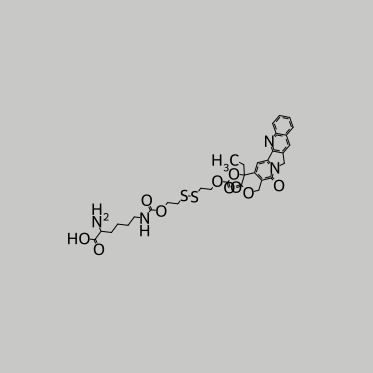 CCC1(OC(=O)OCCSSCCOC(=O)NCCCCC(N)C(=O)O)C(=O)OCc2c1cc1n(c2=O)Cc2cc3ccccc3nc2-1